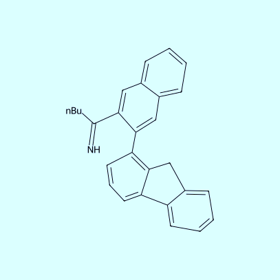 CCCCC(=N)c1cc2ccccc2cc1-c1cccc2c1Cc1ccccc1-2